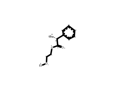 CCOCCOC(=O)[C@@H](c1ccccc1)C(C)(C)C